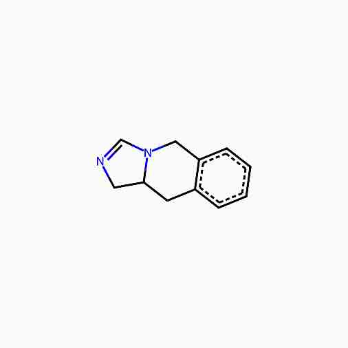 C1=NCC2Cc3ccccc3CN12